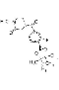 CN1CCN(C(=O)c2ccc(B3OC(C)(C)C(C)(C)O3)c(F)c2)CC1=O